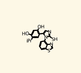 CC(C)c1cc(-c2cnc(S)n2-c2cccc3scnc23)c(O)cc1O